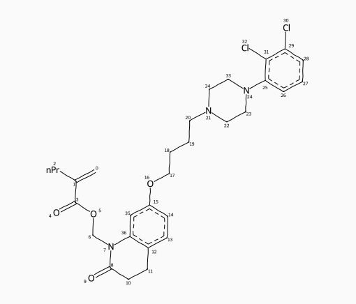 C=C(CCC)C(=O)OCN1C(=O)CCc2ccc(OCCCCN3CCN(c4cccc(Cl)c4Cl)CC3)cc21